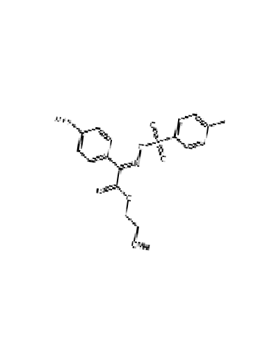 COCCOC(=O)/C(=N/OS(=O)(=O)c1ccc(C)cc1)c1ccc(SC)cc1